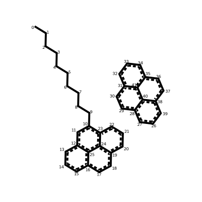 CCCCCCCCCCc1cc2cccc3ccc4cccc1c4c32.c1cc2ccc3cccc4ccc(c1)c2c34